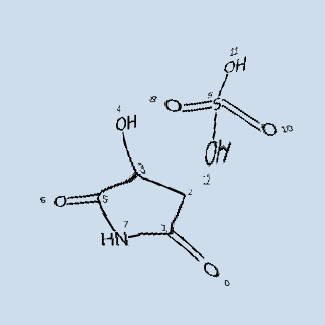 O=C1CC(O)C(=O)N1.O=S(=O)(O)O